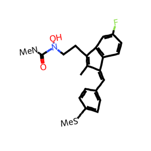 CNC(=O)N(O)CCC1=C(C)C(=Cc2ccc(SC)cc2)c2ccc(F)cc21